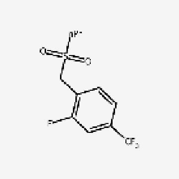 CCCS(=O)(=O)Cc1ccc(C(F)(F)F)cc1F